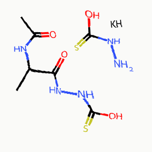 CC(=O)NC(C)C(=O)NNC(O)=S.NNC(O)=S.[KH]